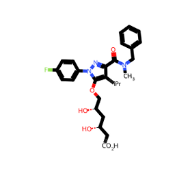 CC(C)c1c(C(=O)N(C)Cc2ccccc2)nn(-c2ccc(F)cc2)c1OC[C@@H](O)C[C@@H](O)CC(=O)O